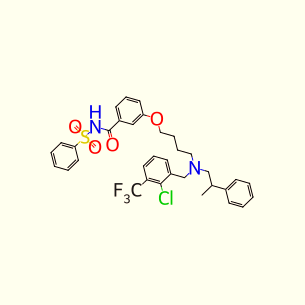 CC(CN(CCCCOc1cccc(C(=O)NS(=O)(=O)c2ccccc2)c1)Cc1cccc(C(F)(F)F)c1Cl)c1ccccc1